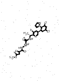 COc1cc(C(=O)NNC(=O)N[C@H](C)c2ncc(-c3cc(Cl)cc(Cl)c3-n3cccn3)cc2F)on1